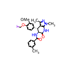 COc1cc([C@@H]2c3c(C)nn(C)c3NC(=O)[C@H]2NC(=O)c2cccc(C)c2)ccc1OCI